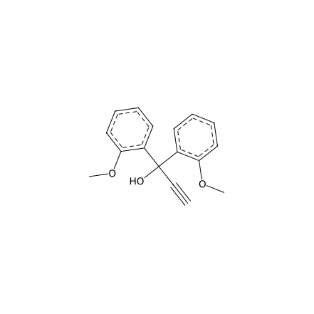 C#CC(O)(c1ccccc1OC)c1ccccc1OC